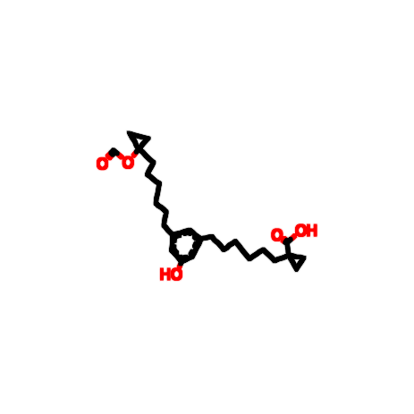 O=COC1(CCCCCCc2cc(O)cc(CCCCCCC3(C(=O)O)CC3)c2)CC1